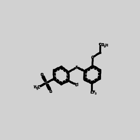 CS(=O)(=O)c1ccc(Sc2cc(C(F)(F)F)ccc2OCC(=O)O)c(Cl)c1